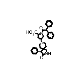 O=C(O)[C@@H]1C[C@H](N2CCC3(CC2)CNC(=O)[C@H]3c2ccccc2)CN1C(=O)C(c1ccccc1)c1ccccc1